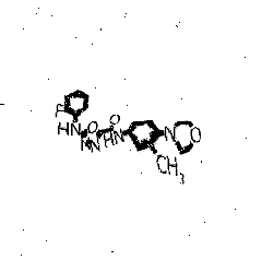 Cc1cc(NC(=O)c2nnc(Nc3ccccc3F)o2)ccc1N1CCOCC1